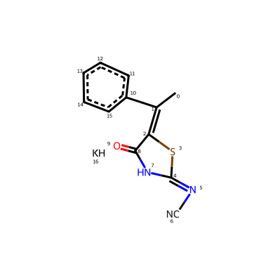 C/C(=C1\S/C(=N/C#N)NC1=O)c1ccccc1.[KH]